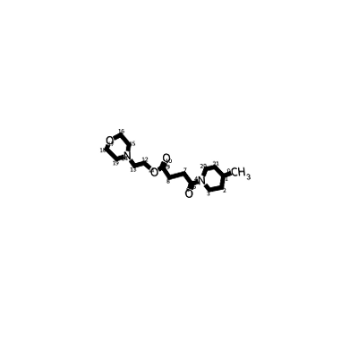 CC1CCN(C(=O)CCC(=O)OCCN2CCOCC2)CC1